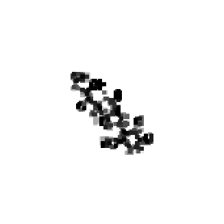 O=C([C@H](O)CO)N1CC(=O)N2C[C@@H](c3c(O)ccc(Cl)c3Cl)C[C@H]2C1